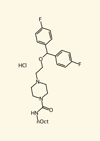 CCCCCCCCNC(=O)N1CCN(CCOC(c2ccc(F)cc2)c2ccc(F)cc2)CC1.Cl